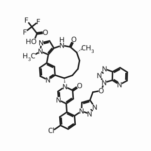 C[C@@H]1CCC[C@H](n2cnc(-c3cc(Cl)ccc3-n3cc(COn4nnc5cccnc54)nn3)cc2=O)c2cc(ccn2)-c2c(cnn2C)NC1=O.O=C(O)C(F)(F)F